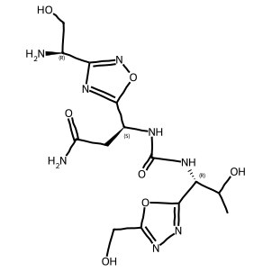 CC(O)[C@@H](NC(=O)N[C@@H](CC(N)=O)c1nc([C@@H](N)CO)no1)c1nnc(CO)o1